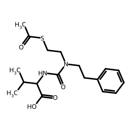 CC(=O)SCCN(CCc1ccccc1)C(=O)NC(C(=O)O)C(C)C